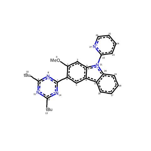 COc1cc2c(cc1-c1nc(C(C)(C)C)nc(C(C)(C)C)n1)c1ccccc1n2-c1ccccn1